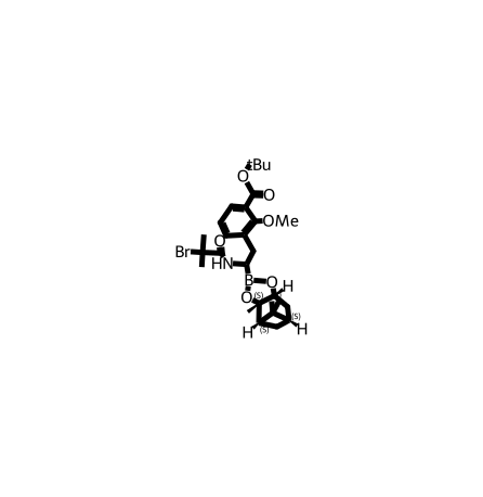 COc1c(CC(NC(=O)C(C)(C)Br)B2O[C@@H]3C[C@@H]4C[C@@H](C4(C)C)[C@]3(C)O2)cccc1C(=O)OC(C)(C)C